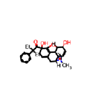 CCC(CC)(C(=O)C1(O)CC=C2C[C@@H]3[C@@H]4C=C[C@H](O)[C@@H]5OC1=C2[C@]45CCN3C)c1ccccc1